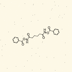 O=C(CCCCC(=O)NOC(=O)c1ccccc1)NOC(=O)c1ccccc1